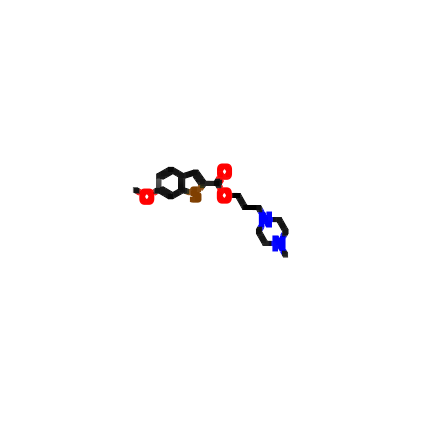 COc1ccc2cc(C(=O)OCCCN3CCN(C)CC3)sc2c1